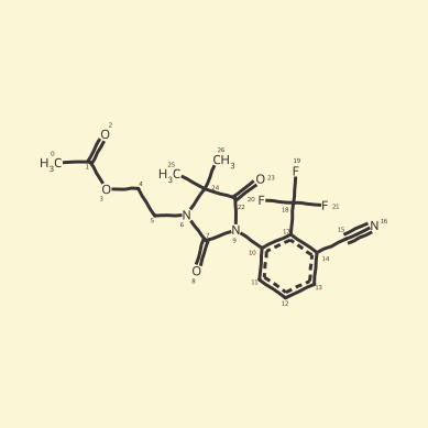 CC(=O)OCCN1C(=O)N(c2cccc(C#N)c2C(F)(F)F)C(=O)C1(C)C